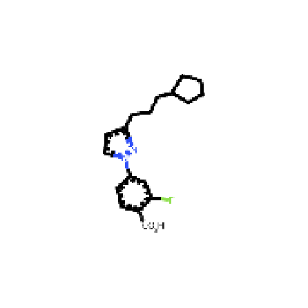 O=C(O)c1ccc(-n2ccc(CCCC3CCCC3)n2)cc1F